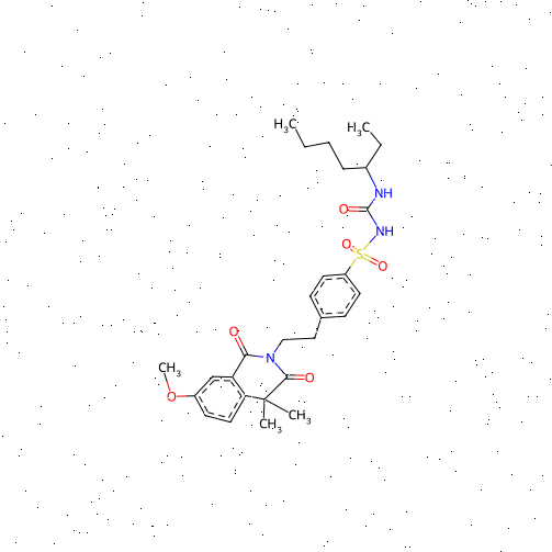 CCCCC(CC)NC(=O)NS(=O)(=O)c1ccc(CCN2C(=O)c3cc(OC)ccc3C(C)(C)C2=O)cc1